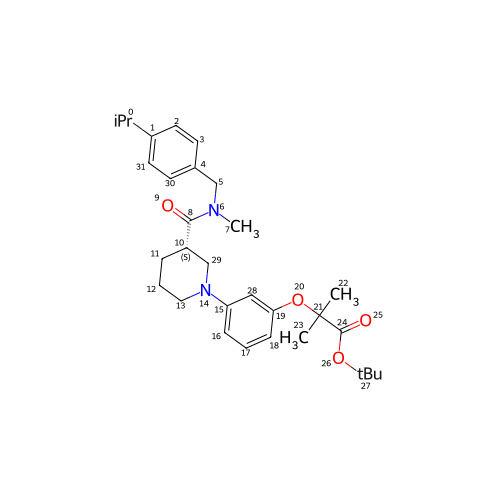 CC(C)c1ccc(CN(C)C(=O)[C@H]2CCCN(c3cccc(OC(C)(C)C(=O)OC(C)(C)C)c3)C2)cc1